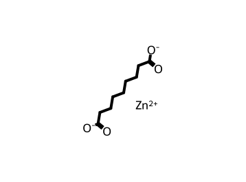 O=C([O-])CCCCCCCC(=O)[O-].[Zn+2]